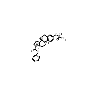 C[C@]12CC[C@@H]3c4ccc(OS(=O)(=O)C(F)(F)F)cc4CC[C@H]3[C@@H]1CC[C@@H]2C(=O)Sc1ccccn1